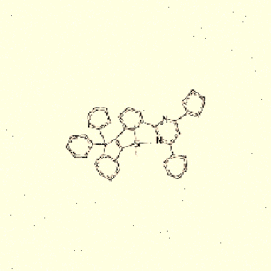 C[Si]1(C)C2=C(c3cccc(-c4nc(-c5ccccc5)cc(-c5ccccc5)n4)c31)C(c1ccccc1)(c1ccccc1)c1ccccc12